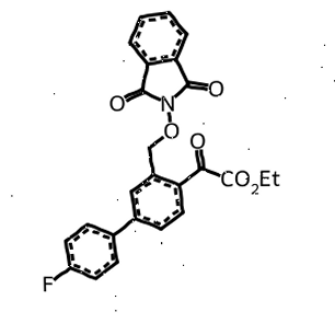 CCOC(=O)C(=O)c1ccc(-c2ccc(F)cc2)cc1CON1C(=O)c2ccccc2C1=O